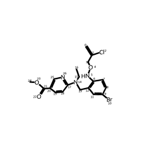 C=C(Cl)CONc1ccc(Br)cc1CN(CC)c1ccc(C(=O)OC)cn1